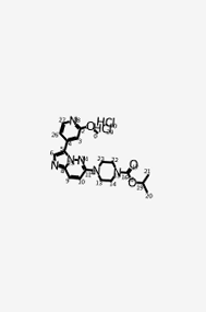 COc1cc(-c2cnc3ccc(N4CCN(C(=O)OC(C)C)CC4)nn23)ccn1.Cl.Cl